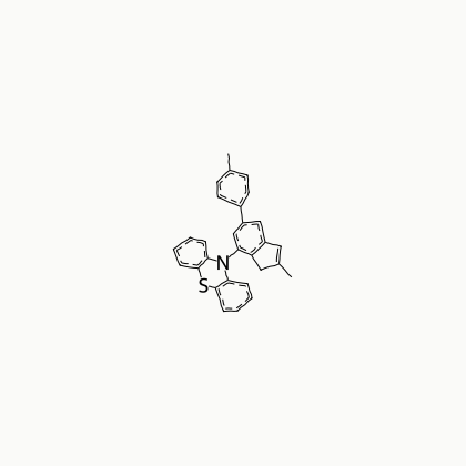 CC1=Cc2cc(-c3ccc(C)cc3)cc(N3c4ccccc4Sc4ccccc43)c2C1